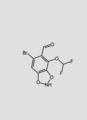 O=Cc1c(Br)cc2c(c1OC(F)F)ONO2